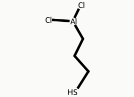 SCC[CH2][Al]([Cl])[Cl]